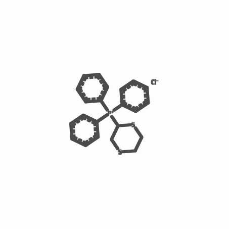 [Cl-].c1ccc([P+](c2ccccc2)(c2ccccc2)C2CSCCS2)cc1